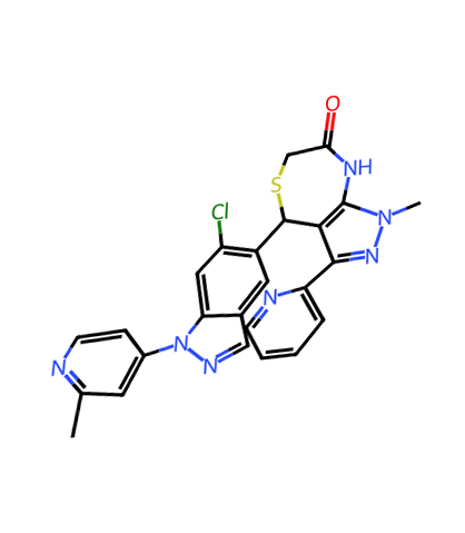 Cc1cc(-n2ncc3cc(C4SCC(=O)Nc5c4c(-c4ccccn4)nn5C)c(Cl)cc32)ccn1